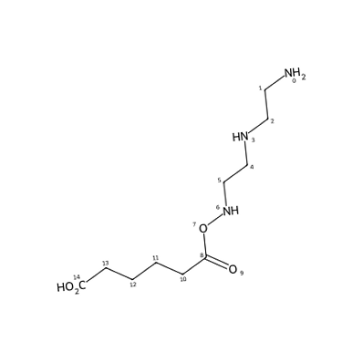 NCCNCCNOC(=O)CCCCC(=O)O